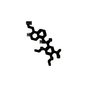 CCOc1cc(OCC)c(C(=O)Nc2cccc3c2CCNC3CCO)cc1C(C)=O